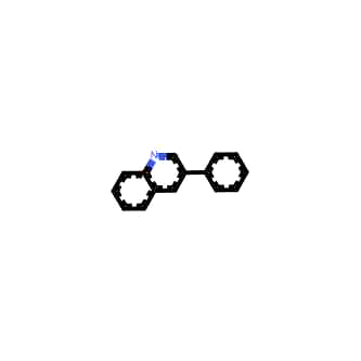 [c]1nc2ccccc2cc1-c1ccccc1